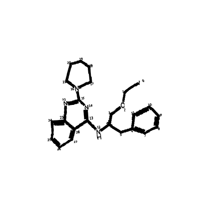 ICOCC(Cc1ccccc1)Nc1nc(N2CCCCC2)nc2ccccc12